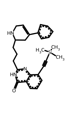 C[Si](C)(C)C#Cc1cccc2c(=O)[nH]c(CCCC3CC(c4ccccc4)=CCN3)nc12